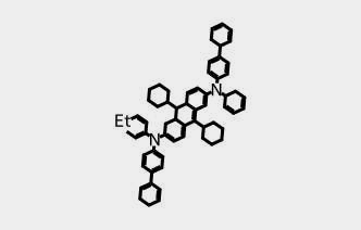 C/C=C(\C=C/CC)N(C1=CC=C2C(C3CCCCC3)=C3C=C(N(c4ccc(C5C=CC=CC5)cc4)C4C=CC=CC4)C=CC3C(C3CCCCC3)C2C1)c1ccc(C2=CCCC=C2)cc1